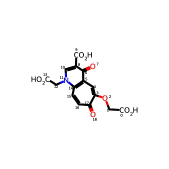 O=C(O)COc1cc2c(=O)c(C(=O)O)cn(CC(=O)O)c2ccc1=O